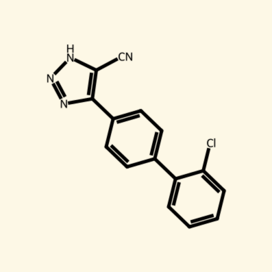 N#Cc1[nH]nnc1-c1ccc(-c2ccccc2Cl)cc1